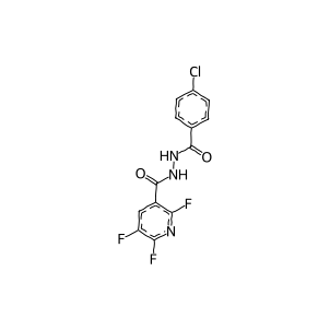 O=C(NNC(=O)c1cc(F)c(F)nc1F)c1ccc(Cl)cc1